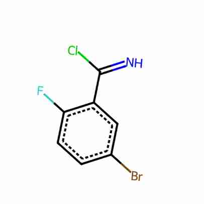 N=C(Cl)c1cc(Br)ccc1F